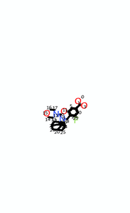 COC(=O)c1ccc(CN(C(=O)N2CCOCC2)C23CC4CC(CC(C4)C2)C3)c(F)c1